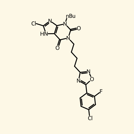 CCCCn1c(=O)n(CCCCc2noc(-c3ccc(Cl)cc3F)n2)c(=O)c2[nH]c(Cl)nc21